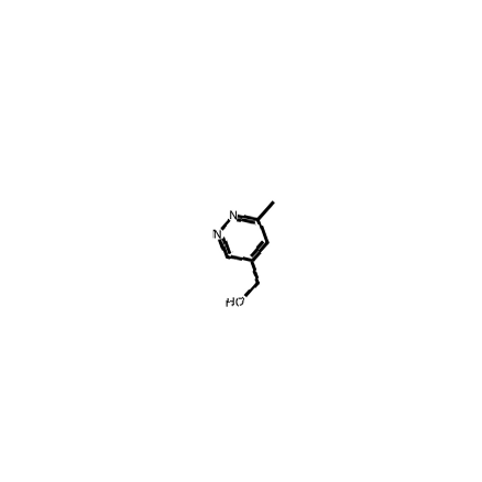 Cc1cc(CO)cnn1